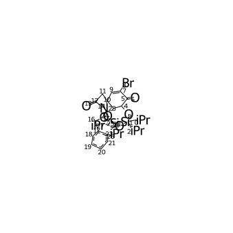 CC(C)[Si]1(C(C)C)OC2C(=O)C(Br)=CC3(CC(=O)N3OCc3ccccc3)C2O[Si](C(C)C)(C(C)C)O1